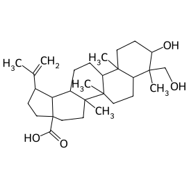 C=C(C)C1CCC2(C(=O)O)CCC3(C)C(CCC4C5(C)CCC(O)C(C)(CO)C5CCC43C)C12